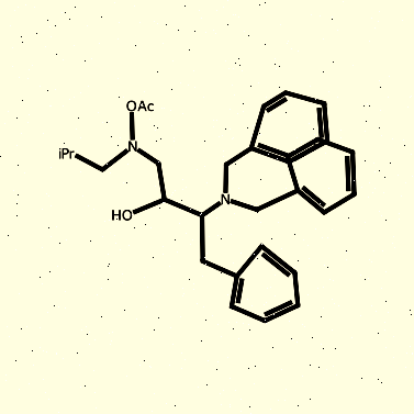 CC(=O)ON(CC(C)C)CC(O)C(Cc1ccccc1)N(Cc1ccccc1)Cc1ccccc1